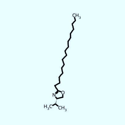 CCCCCCCCCCCCCCCCCC1=N[C@@H](C(C)C)CO1